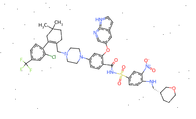 CC1(C)CCC(CN2CCN(c3ccc(C(=O)NS(=O)(=O)c4ccc(NC[C@H]5CCCOC5)c([N+](=O)[O-])c4)c(Oc4cnc5[nH]ccc5c4)c3)CC2)=C(c2ccc(C(F)(F)F)cc2Cl)C1